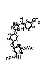 CCCNc1cc(Oc2ccc(-c3nnc(Nc4cccc(C(F)(F)F)c4)[nH]3)cc2)nc(SC)n1